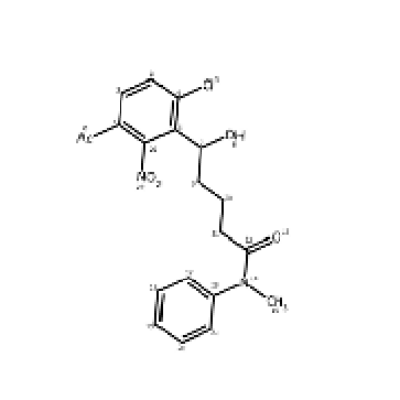 CC(=O)c1ccc(Cl)c(C(O)CCCC(=O)N(C)c2ccccc2)c1[N+](=O)[O-]